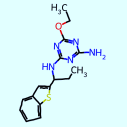 CCOc1nc(N)nc(NC(CC)c2cc3ccccc3s2)n1